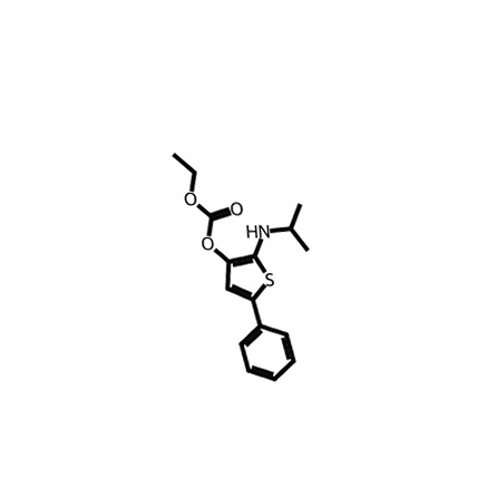 CCOC(=O)Oc1cc(-c2ccccc2)sc1NC(C)C